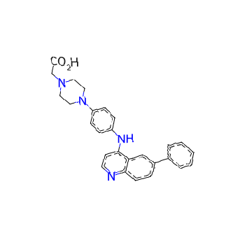 O=C(O)CN1CCN(c2ccc(Nc3ccnc4ccc(-c5ccccc5)cc34)cc2)CC1